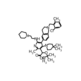 Cc1cccc(Cl)c1CN1CCc2cc(-c3c(NCCN4CCCCC4)nc(C)c(C(OC(C)(C)C)C(=O)O)c3N3CCC(C)(C)CC3)ccc2C1